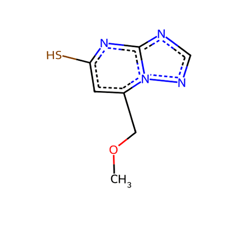 COCc1cc(S)nc2ncnn12